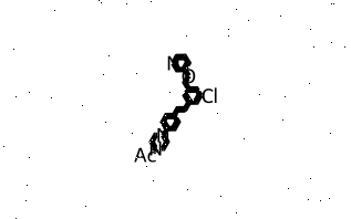 CC(=O)N1CCN(c2ccc(C=Cc3cc(Cl)cc(COc4cccnc4)c3)cc2)CC1